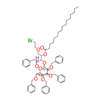 CCCCCCCCCCCCCCCC(=O)OC(COCCBr)C(O[C@@H]1O[C@H](COCc2ccccc2)[C@@H](OCc2ccccc2)[C@H](OCc2ccccc2)[C@H]1OCc1ccccc1)[PH](=O)Cc1ccccc1